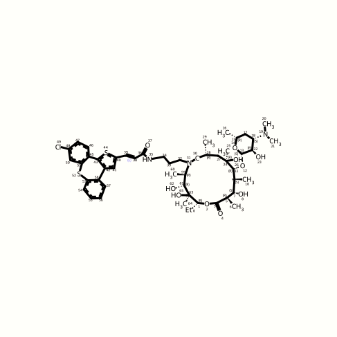 CC[C@H]1OC(=O)[C@H](C)[C@@H](O)[C@H](C)[C@@H](O[C@@H]2O[C@H](C)C[C@H](N(C)C)[C@H]2O)[C@](C)(O)C[C@@H](C)CN(CCCNC(=O)/C=C/c2cc3c(s2)-c2ccc(Cl)cc2Sc2ccccc2-3)[C@H](C)[C@@H](O)[C@]1(C)O